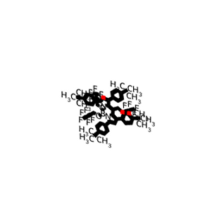 CC(C)(C)c1ccc(C2=CC(c3ccc(C(C)(C)C)cc3)=N/C2=C(/CCC(F)(F)C(F)(F)F)c2c(-c3ccc(C(C)(C)C)cc3)cc(-c3ccc(C(C)(C)C)cc3)n2B(OCC(F)(F)C(F)(F)F)OCC(F)(F)C(F)(F)F)cc1